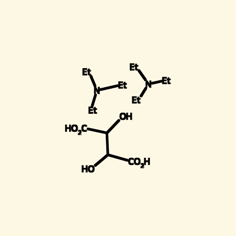 CCN(CC)CC.CCN(CC)CC.O=C(O)C(O)C(O)C(=O)O